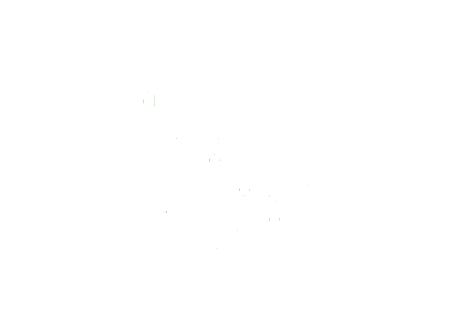 CCC(=O)Oc1cccc(C)c1COc1ccc(C)c(Cl)c1